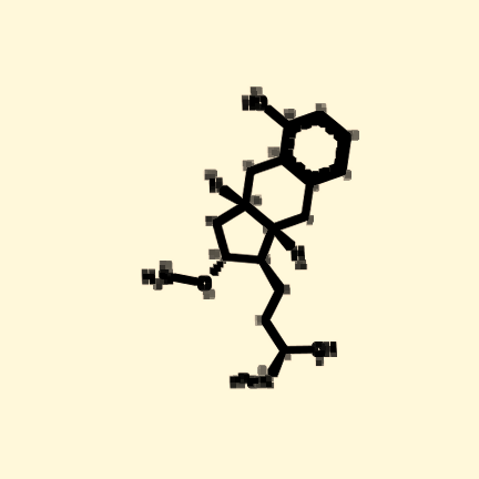 CCCCC[C@H](O)CC[C@@H]1[C@H]2Cc3cccc(O)c3C[C@H]2C[C@H]1O[SiH3]